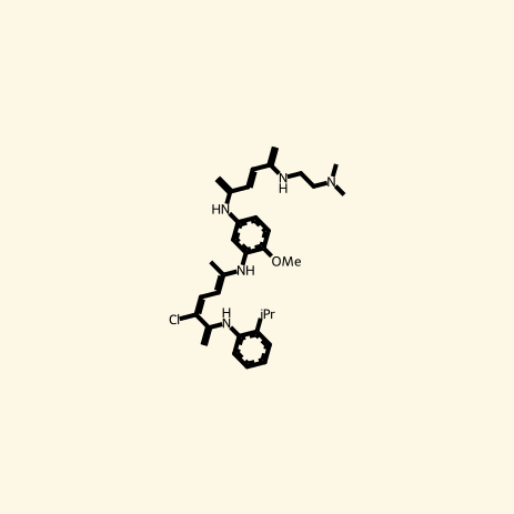 C=C(/C=C/C(=C)Nc1ccc(OC)c(N/C(C)=C/C=C(/Cl)C(=C)Nc2ccccc2C(C)C)c1)NCCN(C)C